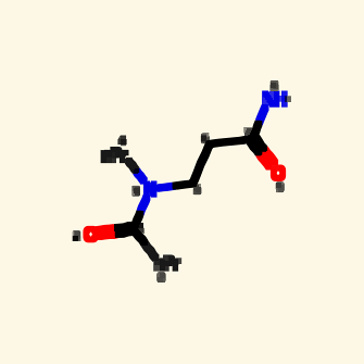 CCCC(=O)N(CCC)CCC([NH])=O